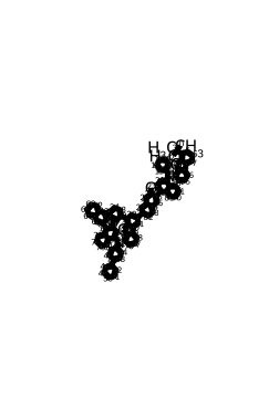 CC(C)(C)c1cccc2c1oc1c(N(c3ccccc3)c3cc4oc5cc6cc(-c7cc(-c8ccccc8)c8oc9c(N(c%10ccc(-c%11ccccc%11)cc%10)c%10cc%11oc%12cc%13ccccc%13cc%12c%11c%11ccccc%10%11)cccc9c8c7)ccc6cc5c4c4ccccc34)cccc12